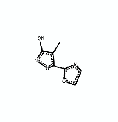 Cc1c(O)noc1-c1ncco1